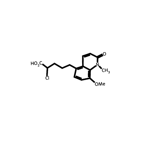 COc1ccc(CCCC(Cl)C(=O)O)c2ccc(=O)n(C)c12